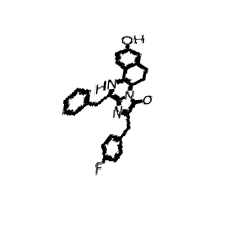 O=c1c(Cc2ccc(F)cc2)nc2c(Cc3ccccc3)[nH]c3c(n1-2)CCc1cc(O)ccc1-3